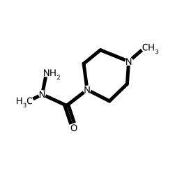 CN1CCN(C(=O)N(C)N)CC1